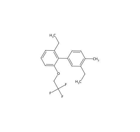 CCc1cc(-c2c(CC)cccc2OCC(F)(F)F)ccc1C